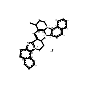 CC1CC[n+]2c(sc3ccc4ccccc4c32)C1=CC1=C2Sc3ccc4ccccc4c3N2CCC1C.[I-]